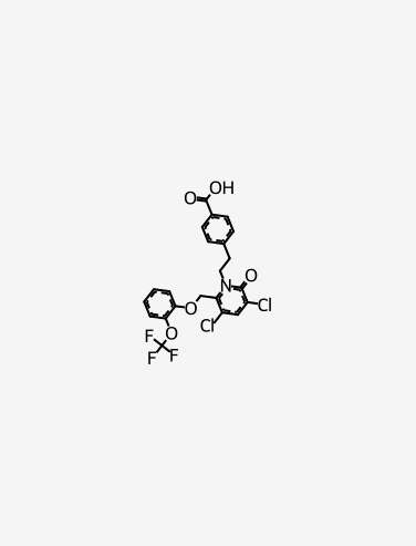 O=C(O)c1ccc(CCn2c(COc3ccccc3OC(F)(F)F)c(Cl)cc(Cl)c2=O)cc1